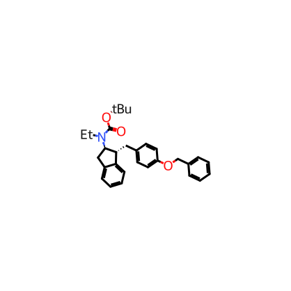 CCN(C(=O)OC(C)(C)C)[C@@H]1Cc2ccccc2[C@H]1Cc1ccc(OCc2ccccc2)cc1